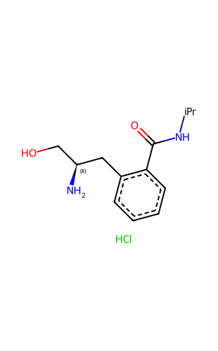 CC(C)NC(=O)c1ccccc1C[C@@H](N)CO.Cl